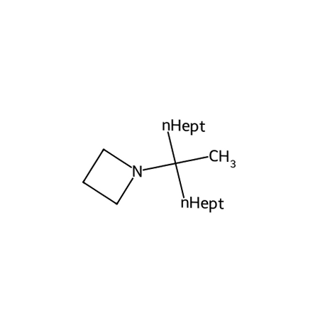 CCCCCCCC(C)(CCCCCCC)N1CCC1